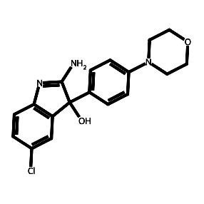 NC1=Nc2ccc(Cl)cc2C1(O)c1ccc(N2CCOCC2)cc1